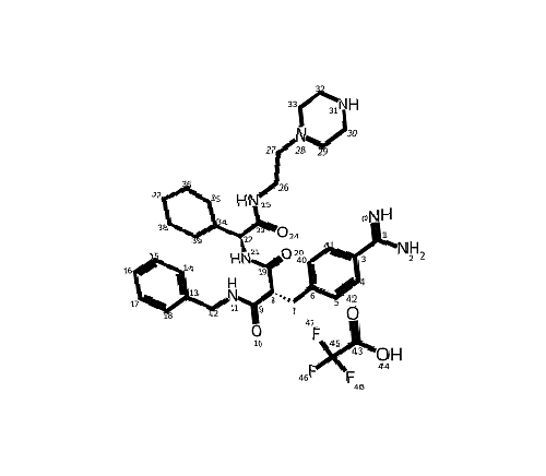 N=C(N)c1ccc(C[C@H](C(=O)NCc2ccccc2)C(=O)N[C@H](C(=O)NCCN2CCNCC2)C2CCCCC2)cc1.O=C(O)C(F)(F)F